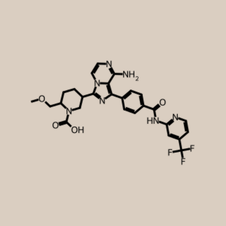 COCC1CCC(c2nc(-c3ccc(C(=O)Nc4cc(C(F)(F)F)ccn4)cc3)c3c(N)nccn23)CN1C(=O)O